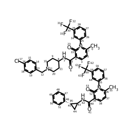 Cc1ccc(C(=O)NC2CCN(Cc3ccc(Cl)cc3)CC2)c(=O)n1-c1cccc(C(F)(F)F)c1.Cc1ccc(C(=O)NC2C[C@@H]2c2ccccc2)c(=O)n1-c1cccc(C(F)(F)F)c1